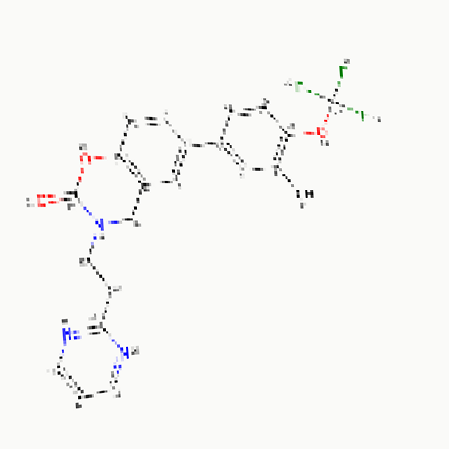 Cc1cc(-c2ccc3c(c2)CN(CCc2ncccn2)C(=O)O3)ccc1OC(F)(F)F